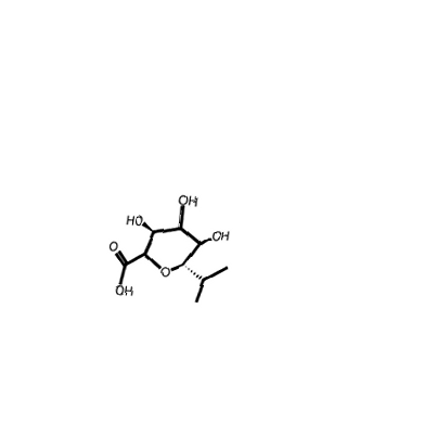 CC(C)[C@@H]1OC(C(=O)O)[C@@H](O)C(O)C1O